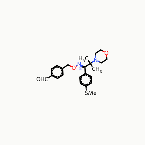 CSc1ccc(/C(=N\OCc2ccc(C=O)cc2)C(C)(C)N2CCOCC2)cc1